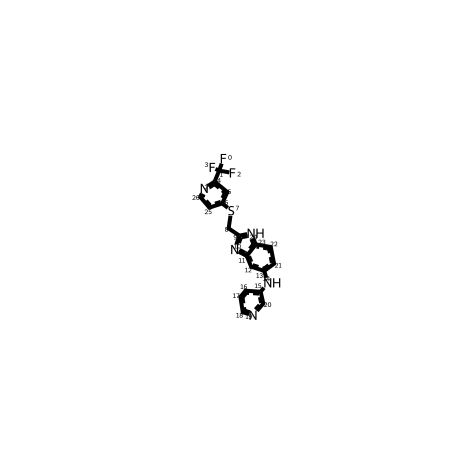 FC(F)(F)c1cc(SCc2nc3cc(Nc4cccnc4)ccc3[nH]2)ccn1